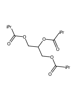 CC(C)C(=O)OCC(COC(=O)C(C)C)OC(=O)C(C)C